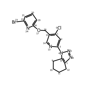 Clc1cc(-n2nnc3c2CCCC3)ncc1COc1cccc(Br)n1